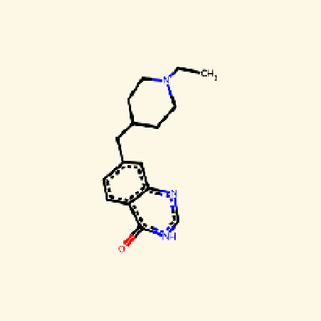 CCN1CCC(Cc2ccc3c(=O)[nH]cnc3c2)CC1